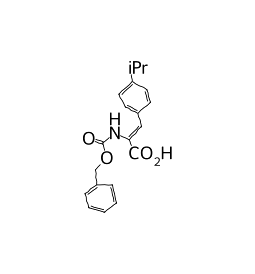 CC(C)c1ccc(C=C(NC(=O)OCc2ccccc2)C(=O)O)cc1